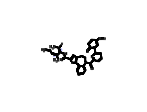 C=C/C=C(C)\C(NC(=O)c1cc2c(s1)-c1ccccc1N(C(=O)c1cccc(-n3cc(OC)ccc3=O)n1)CC2)=C(/C)F